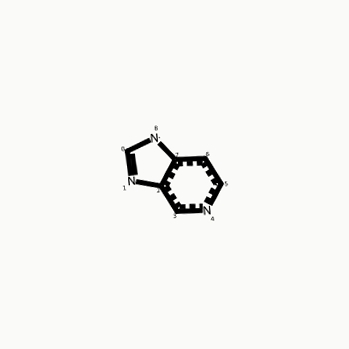 C1=Nc2cnccc2[N]1